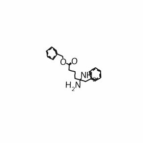 NC(N)(CCCC(=O)OCc1ccccc1)Cc1ccccc1